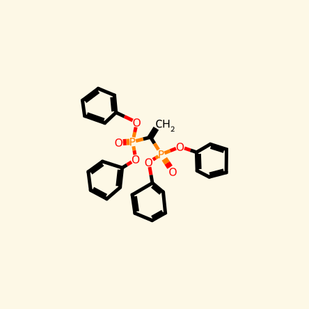 C=C(P(=O)(Oc1ccccc1)Oc1ccccc1)P(=O)(Oc1ccccc1)Oc1ccccc1